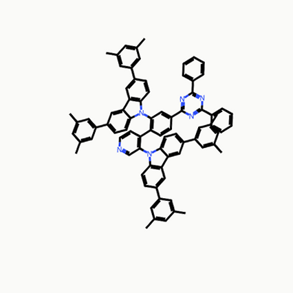 Cc1cc(C)cc(-c2ccc3c(c2)c2cc(-c4cc(C)cc(C)c4)ccc2n3-c2cnccc2-c2ccc(-c3nc(-c4ccccc4)nc(-c4ccccc4)n3)cc2-n2c3ccc(-c4cc(C)cc(C)c4)cc3c3cc(-c4cc(C)cc(C)c4)ccc32)c1